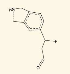 O=CCC(F)c1ccc2c(c1)CNC2